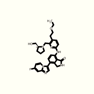 CCOCCc1ccc(Nc2ccc(-c3cnc4cc(F)ccn34)c3c2C(=O)NC3)nc1CN1CCC[C@H]1CO